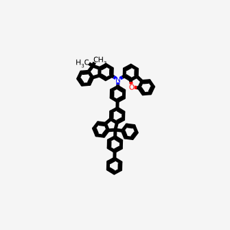 CC1(C)c2ccccc2-c2cc(N(c3ccc(-c4ccc5c(c4)-c4ccccc4C5(c4ccccc4)c4ccc(-c5ccccc5)cc4)cc3)c3cccc4c3oc3ccccc34)ccc21